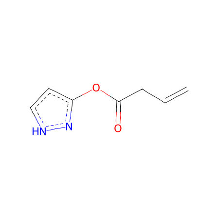 C=CCC(=O)Oc1cc[nH]n1